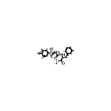 COC(=O)C(Cc1ccccc1)NC(=O)NS(=O)(=O)c1ccc(C)cc1